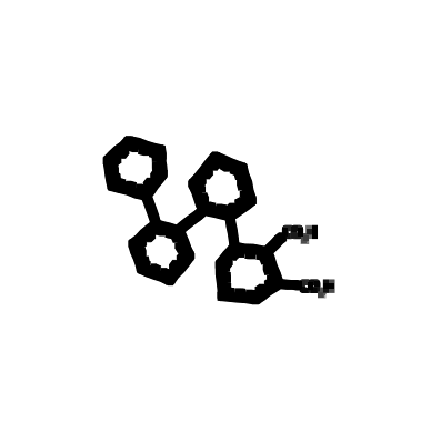 O=C(O)c1cccc(-c2ccccc2-c2ccccc2-c2ccccc2)c1C(=O)O